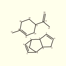 C1=CC2C3C=CC(C3)C2C1.C=C(C)C1CC=C(C)CC1